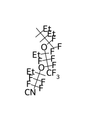 CCC(C)(C)C(C)(CC)C(F)(OC(C)(CC)C(F)(F)C(F)(OC(C)(CC)C(F)(F)C(F)(F)C#N)C(F)(F)F)C(F)F